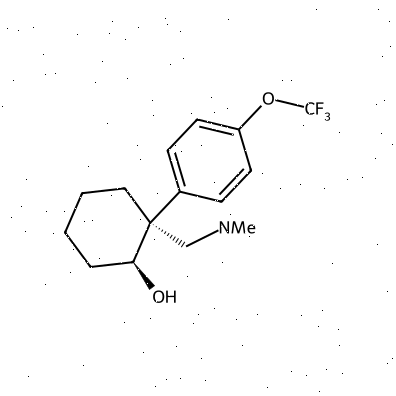 CNC[C@@]1(c2ccc(OC(F)(F)F)cc2)CCCC[C@@H]1O